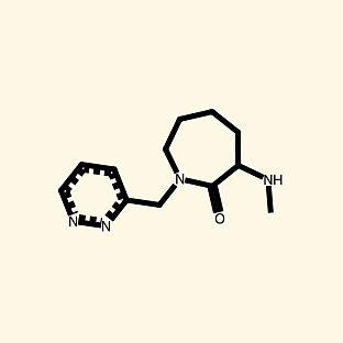 CNC1CCCCN(Cc2cccnn2)C1=O